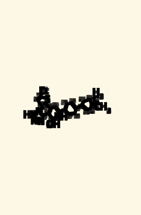 CCc1cnc(C2=C(c3nn[nH]n3)C(O)NC(c3ccc(C4=CCC(C)(C)CC4)cc3)=C2)s1